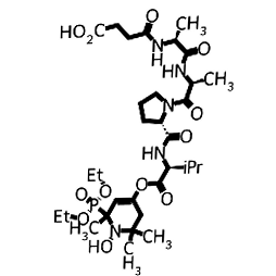 CCOP(=O)(OCC)C1(C)C=C(OC(=O)[C@@H](NC(=O)[C@@H]2CCCN2C(=O)[C@H](C)NC(=O)[C@H](C)NC(=O)CCC(=O)O)C(C)C)CC(C)(C)N1O